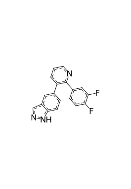 Fc1ccc(-c2ncccc2-c2ccc3[nH]ncc3c2)cc1F